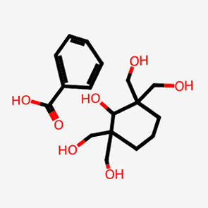 O=C(O)c1ccccc1.OCC1(CO)CCCC(CO)(CO)C1O